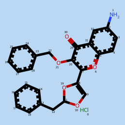 Cl.Nc1ccc2oc(C3=COC(Cc4ccccc4)O3)c(OCc3ccccc3)c(=O)c2c1